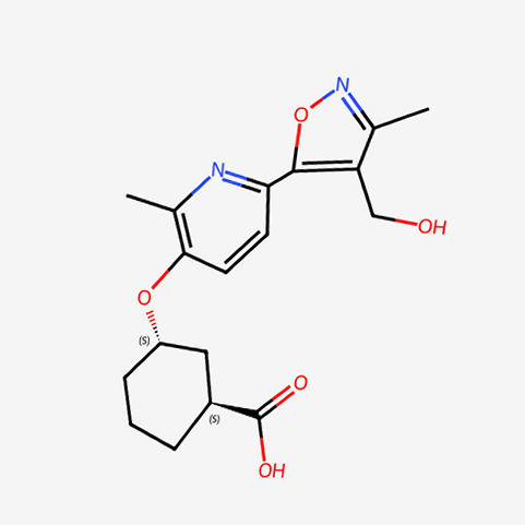 Cc1nc(-c2onc(C)c2CO)ccc1O[C@H]1CCC[C@H](C(=O)O)C1